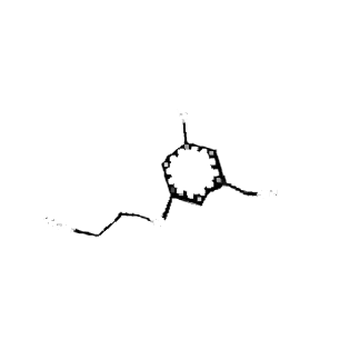 CCc1cc(C#N)cc(OCCOC)c1